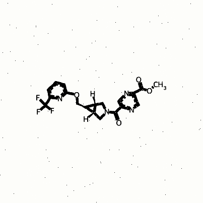 COC(=O)c1cnc(C(=O)N2C[C@@H]3[C@@H](COc4cccc(C(F)(F)F)n4)[C@@H]3C2)cn1